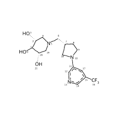 OC1[C@H](O)CN(C[C@@H]2CCN(c3cncc(C(F)(F)F)c3)C2)C[C@@H]1O